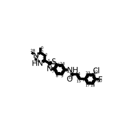 CC(CC(=N)c1nc2ccc(NC(=O)C=Cc3ccc(F)c(Cl)c3)cc2s1)N(C)C